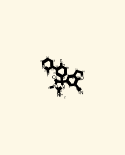 CN1C(=O)C(c2cc(C#N)c3c(c2)CCO3)(c2ccc(F)c(-c3cccnc3F)c2)N=C1N